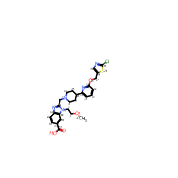 COCCn1c(CN2CCC(c3cccc(OCc4cnc(Cl)s4)n3)CC2)nc2ccc(C(=O)O)cc21